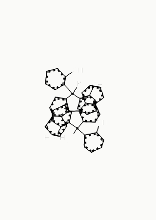 Cc1ccccc1C(P)(c1ccccc1C)c1ccc2ccccc2c1-c1c(C(P)(c2ccccc2C)c2ccccc2C)ccc2ccccc12